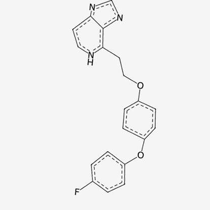 Fc1ccc(Oc2ccc(OCCc3[nH]ccc4ncnc3-4)cc2)cc1